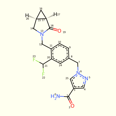 NC(=O)c1cnn(Cc2ccc(CN3C[C@H]4C[C@H]4C3=O)c(C(F)F)c2)c1